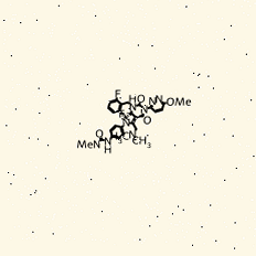 CNC(=O)Nc1ccc(-n2nc3c(c2CN(C)C)C(=O)N(c2ccc(OC)nn2)C(O)N3Cc2c(F)cccc2F)cc1